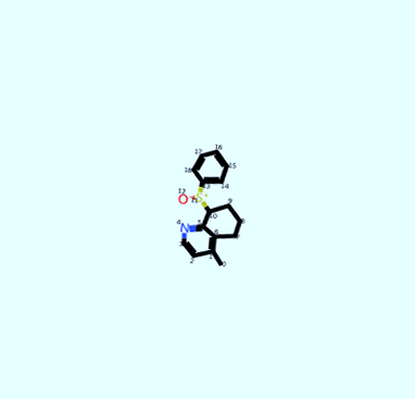 Cc1ccnc2c1CCCC2[S+]([O-])c1ccccc1